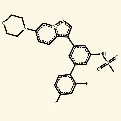 CS(=O)(=O)Nc1cc(-c2ccc(F)cc2F)cc(-c2cnn3cc(N4CCOCC4)ccc23)c1